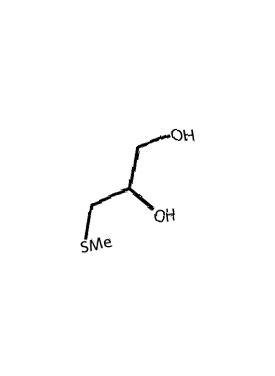 [CH2]SCC(O)CO